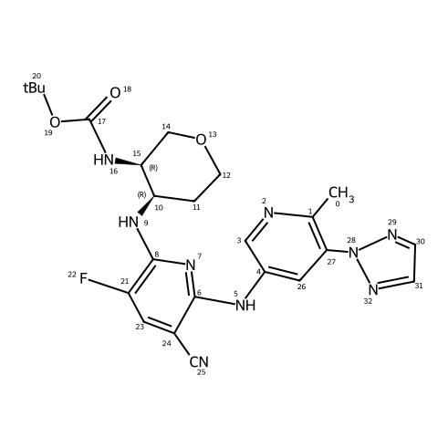 Cc1ncc(Nc2nc(N[C@@H]3CCOC[C@@H]3NC(=O)OC(C)(C)C)c(F)cc2C#N)cc1-n1nccn1